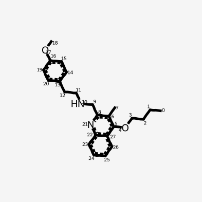 CCCCOc1c(C)c(CNCCc2ccc(OC)cc2)nc2ccccc12